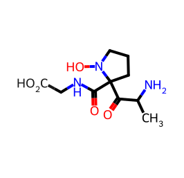 CC(N)C(=O)C1(C(=O)NCC(=O)O)CCCN1O